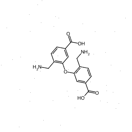 NCc1ccc(C(=O)O)cc1Oc1cc(C(=O)O)ccc1CN